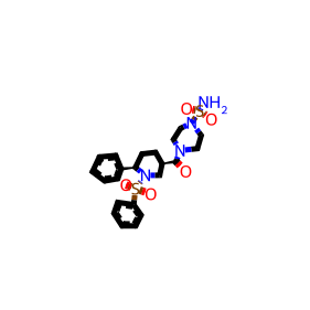 NS(=O)(=O)N1CCN(C(=O)[C@@H]2CC[C@H](c3ccccc3)N(S(=O)(=O)c3ccccc3)C2)CC1